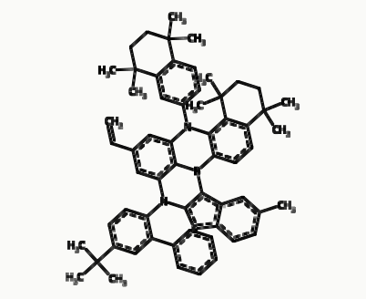 C=Cc1cc2c3c(c1)N(c1ccc4c(c1)C(C)(C)CCC4(C)C)c1c(ccc4c1C(C)(C)CCC4(C)C)B3c1c(sc3ccc(C)cc13)N2c1ccc(C(C)(C)C)cc1-c1ccccc1